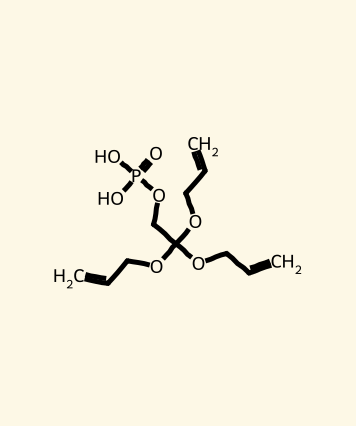 C=CCOC(COP(=O)(O)O)(OCC=C)OCC=C